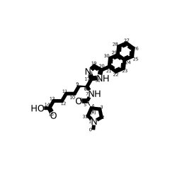 CN1CC[C@@H](C(=O)N[C@@H](CCCCCC(=O)O)c2ncc(-c3ccc4ccccc4c3)[nH]2)C1